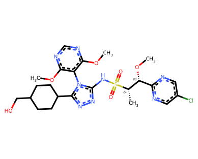 COc1ncnc(OC)c1-n1c(NS(=O)(=O)[C@@H](C)[C@H](OC)c2ncc(Cl)cn2)nnc1C1CCC(CO)CC1